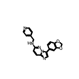 c1cc(CNc2ccc3ncc(-c4ccc5c(c4)OCO5)n3n2)ccn1